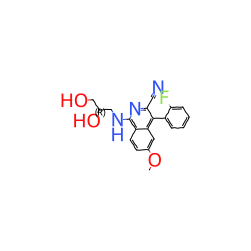 COc1ccc2c(NC[C@@H](O)CO)nc(C#N)c(-c3ccccc3F)c2c1